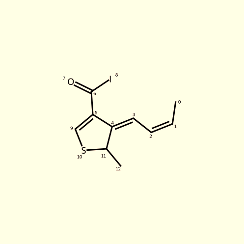 C/C=C\C=C1\C(C(=O)I)=CSC1C